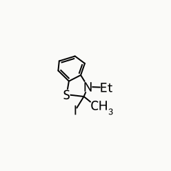 CCN1c2ccccc2SC1(C)I